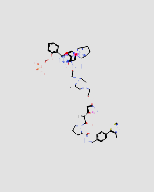 Cc1ncsc1-c1ccc([C@H](C)NC(=O)[C@@H]2CCCN2C(=O)C(c2cc(OCCN3CCN(CCOc4cc(N5C6CCC5CN(c5cc(-c7ccccc7OCOP(=O)(O)O)nnc5N)C6)ccn4)[C@H](C)C3)no2)C(C)C)cc1